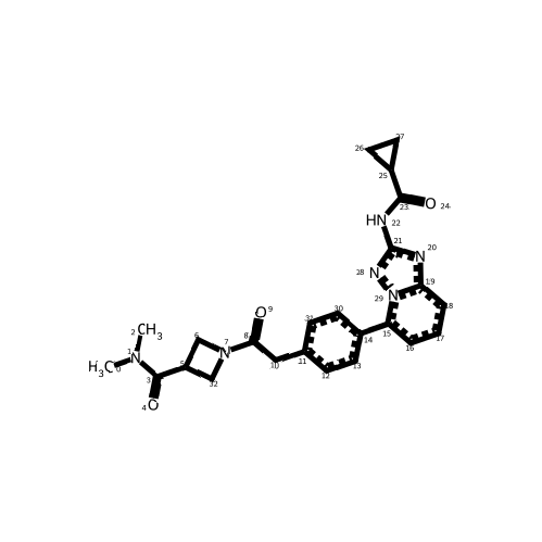 CN(C)C(=O)C1CN(C(=O)Cc2ccc(-c3cccc4nc(NC(=O)C5CC5)nn34)cc2)C1